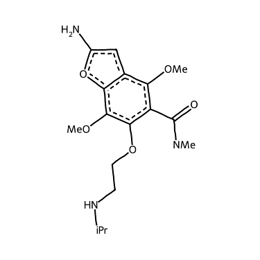 CNC(=O)c1c(OCCNC(C)C)c(OC)c2oc(N)cc2c1OC